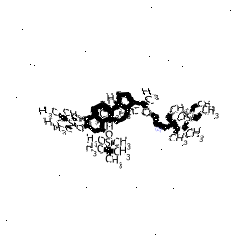 CCC(/C=C\COC(C)C1=CC[C@H]2C3=CC=C4CC(O[Si](C)(C)C(C)(C)C)CC(O[Si](C)(C)C(C)(C)C)[C@]4(C)[C@H]3CC[C@]12C)(CC)O[Si](CC)(CC)CC